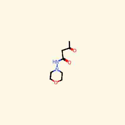 CC(=O)CC(=O)NN1CCOCC1